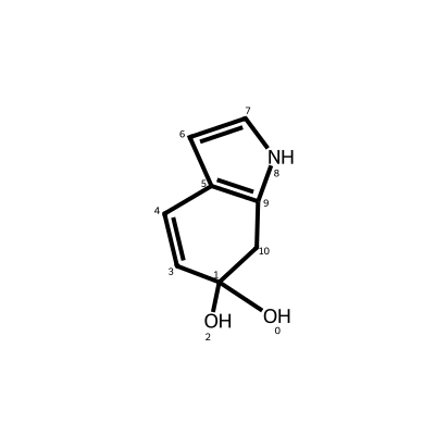 OC1(O)C=Cc2cc[nH]c2C1